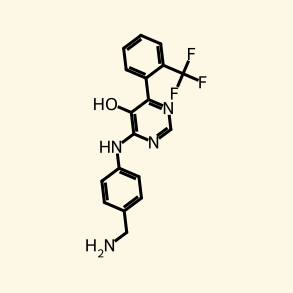 NCc1ccc(Nc2ncnc(-c3ccccc3C(F)(F)F)c2O)cc1